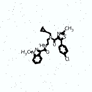 Cc1nc(C(=O)N(CCNC(=O)c2nn(C)c3ccccc23)CC2CC2)c(-c2ccc(Cl)cc2)s1